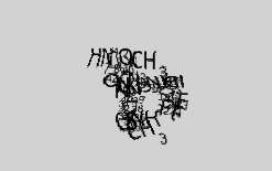 CC1OC2(CCNCC2)c2c1n(CC(=O)Nc1ccc(C(F)(F)F)cc1Cl)c1nc(-c3ccc(S(C)(=N)=O)cc3)nn1c2=O